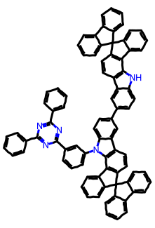 c1ccc(-c2nc(-c3ccccc3)nc(-c3cccc(-n4c5ccc(-c6ccc7[nH]c8c9c(ccc8c7c6)C6(c7ccccc7-c7ccccc76)c6ccccc6-9)cc5c5ccc6c(c54)-c4ccccc4C64c5ccccc5-c5ccccc54)c3)n2)cc1